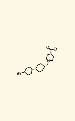 CCC(=O)N1CCN(C[C@H]2CC[C@H](N3CCC(C(C)C)CC3)CC2)CC1